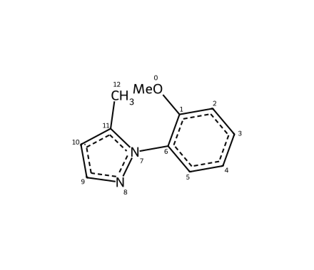 COc1ccccc1-n1nc[c]c1C